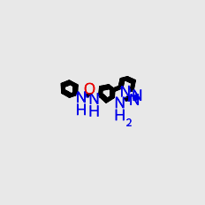 Nc1nnc2cccc(-c3ccc(NC(=O)Nc4ccccc4)cc3)n12